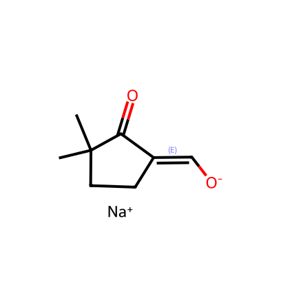 CC1(C)CC/C(=C\[O-])C1=O.[Na+]